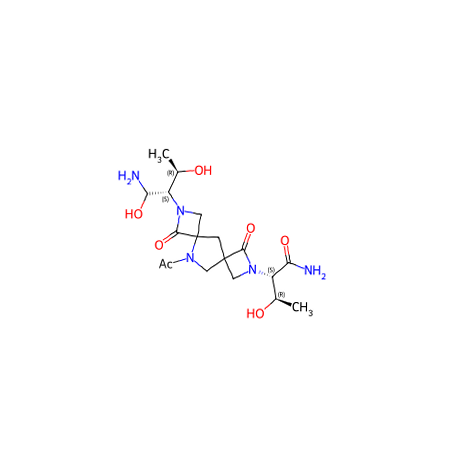 CC(=O)N1CC2(CN([C@H](C(N)=O)[C@@H](C)O)C2=O)CC12CN([C@H](C(N)O)[C@@H](C)O)C2=O